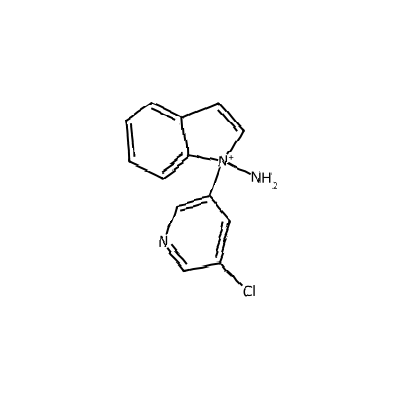 N[N+]1(c2cncc(Cl)c2)C=Cc2ccccc21